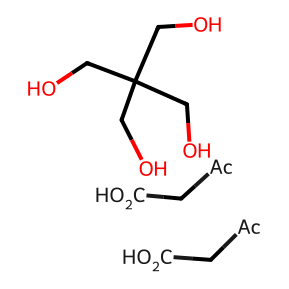 CC(=O)CC(=O)O.CC(=O)CC(=O)O.OCC(CO)(CO)CO